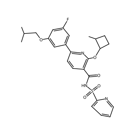 CC(C)COc1cc(F)cc(-c2ccc(C(=O)NS(=O)(=O)c3ccccn3)c(OC3CCC3C)n2)c1